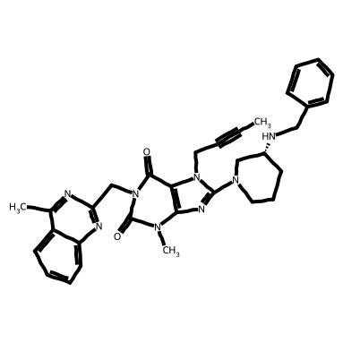 CC#CCn1c(N2CCC[C@@H](NCc3ccccc3)C2)nc2c1c(=O)n(Cc1nc(C)c3ccccc3n1)c(=O)n2C